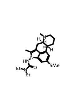 CCN(CC)C(=O)Nn1c(C)c2c3c(cc(SC)cc31)[C@H]1CCCN(C)[C@@H]1C2